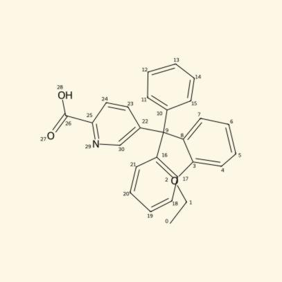 CCOc1ccccc1C(c1ccccc1)(c1ccccc1)c1ccc(C(=O)O)nc1